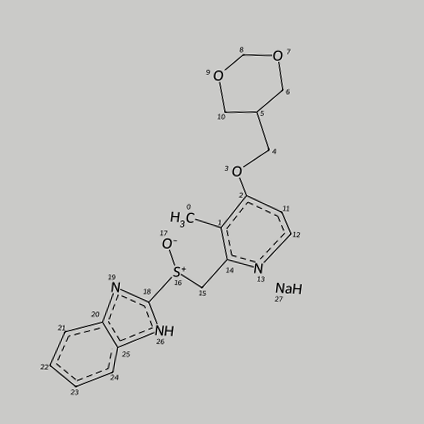 Cc1c(OCC2COCOC2)ccnc1C[S+]([O-])c1nc2ccccc2[nH]1.[NaH]